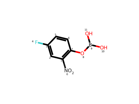 O=[N+]([O-])c1cc(F)ccc1OB(O)O